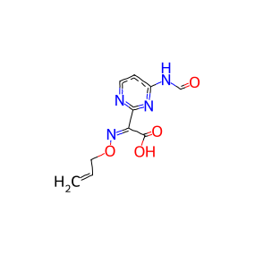 C=CCO/N=C(\C(=O)O)c1nccc(NC=O)n1